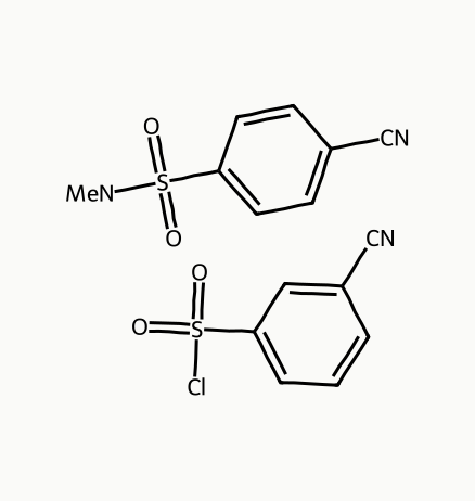 CNS(=O)(=O)c1ccc(C#N)cc1.N#Cc1cccc(S(=O)(=O)Cl)c1